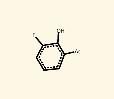 CC(=O)c1cccc(F)c1O